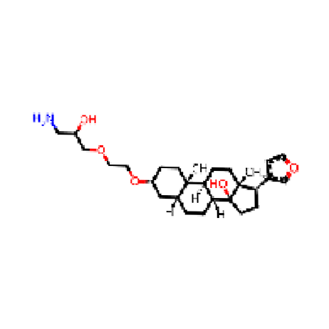 C[C@]12CC[C@H](OCCOCC(O)CN)C[C@H]1CC[C@@H]1[C@@H]2CC[C@]2(C)[C@@H](c3ccoc3)CC[C@]12O